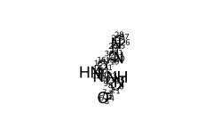 c1cc(-c2ccoc2)c2cc(-c3n[nH]c4ccc(-c5cncc(CN6CCCCC6)c5)cc34)[nH]c2n1